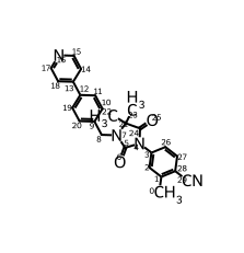 Cc1cc(N2C(=O)N(Cc3ccc(-c4ccncc4)cc3)C(C)(C)C2=O)ccc1C#N